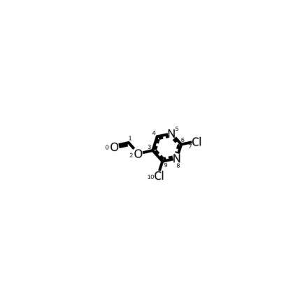 O=COc1cnc(Cl)nc1Cl